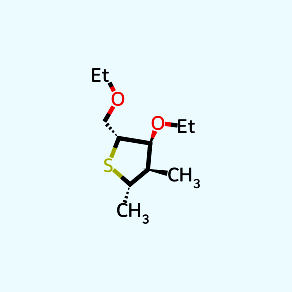 CCOC[C@H]1S[C@@H](C)[C@H](C)[C@@H]1OCC